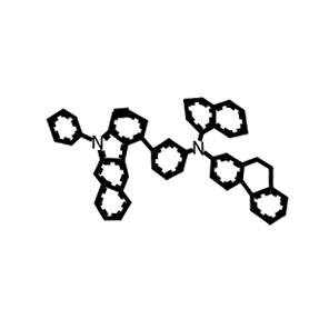 c1cc(-c2cccc(N(c3ccc4c(c3)CCc3ccccc3-4)c3cccc4ccccc34)c2)c2c3cc4ccccc4cc3n(-c3ccccc3)c2c#1